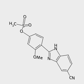 COc1cc(OS(C)(=O)=O)ccc1-c1nc2cc(C#N)ccc2[nH]1